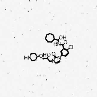 O=C(NC(O)C1CCCCCC1)c1cc(-n2ccn(CC(O)COC3CCNCC3)c2=O)ccc1Cl